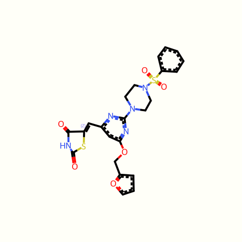 O=C1NC(=O)/C(=C/c2cc(OCc3ccco3)nc(N3CCN(S(=O)(=O)c4ccccc4)CC3)n2)S1